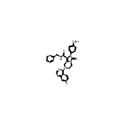 COc1ccc(-n2c(C(=O)NCc3ccccc3)c3n(c2=O)CCN(c2ncnc4cc(Cl)ccc24)C3)cc1